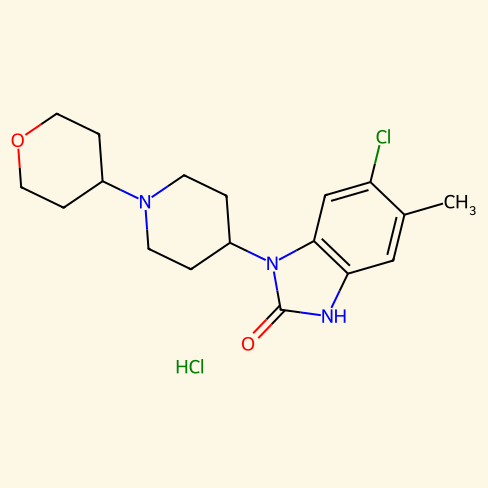 Cc1cc2[nH]c(=O)n(C3CCN(C4CCOCC4)CC3)c2cc1Cl.Cl